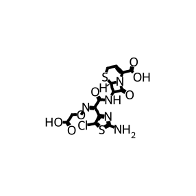 Nc1nc(/C(=N\OCC(=O)O)C(=O)NC2C(=O)N3C(C(=O)O)=CCS[C@H]23)c(Cl)s1